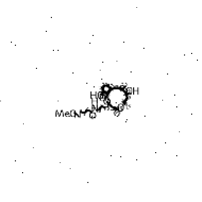 CO/N=C/C=C/C(=O)N/C=C/C[C@H]1CC(=O)O[C@@H](C)/C=C/[C@H](O)/C(C)=C\Cc2cccc(O)c2C(=O)O1